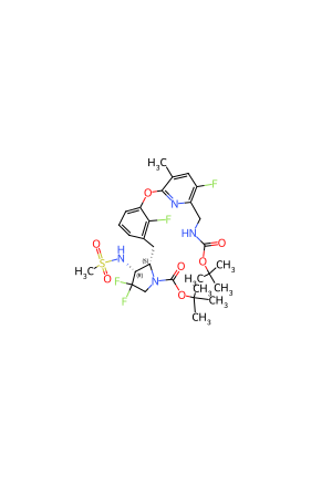 Cc1cc(F)c(CNC(=O)OC(C)(C)C)nc1Oc1cccc(C[C@H]2[C@@H](NS(C)(=O)=O)C(F)(F)CN2C(=O)OC(C)(C)C)c1F